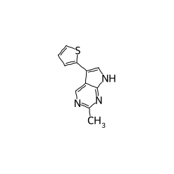 Cc1ncc2c(-c3cccs3)c[nH]c2n1